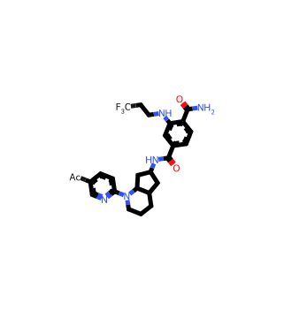 CC(=O)c1ccc(N2CCCC3CC(NC(=O)c4ccc(C(N)=O)c(NCCC(F)(F)F)c4)CC32)nc1